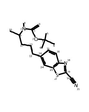 C=C(OC(C)(C)C)N(C)C(C)CCCc1ccc2nc(C#N)sc2c1